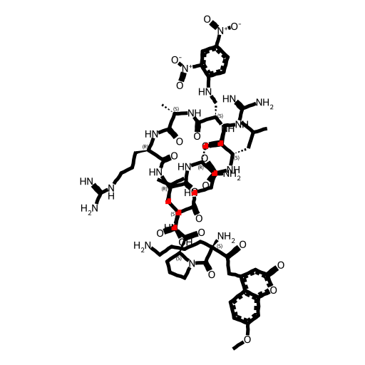 COc1ccc2c(CC(=O)[C@@](N)(CCCCN)C(=O)N3CCC[C@H]3C(=O)N[C@@H](CC(C)C)C(=O)NCC(=O)N[C@@H](CC(C)C)C(=O)N[C@@H](CNc3ccc([N+](=O)[O-])cc3[N+](=O)[O-])C(=O)N[C@@H](C)C(=O)N[C@H](CCCNC(=N)N)C(=O)N[C@H](CCC(=O)O)C(=O)N[C@H](CCCNC(=N)N)C(N)=O)cc(=O)oc2c1